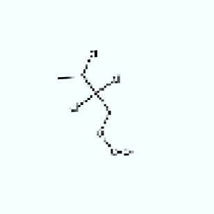 CC(Cl)C(Cl)(Cl)CO[C]=O